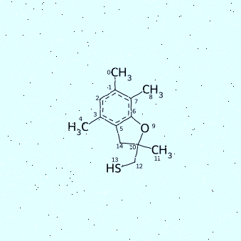 Cc1cc(C)c2c(c1C)OC(C)(CS)C2